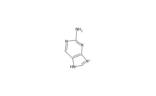 Nc1ncc2c(n1)[N+]=CN2